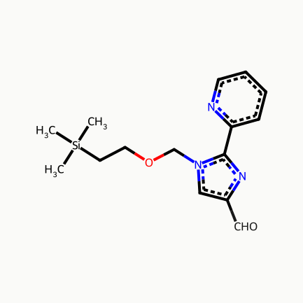 C[Si](C)(C)CCOCn1cc(C=O)nc1-c1ccccn1